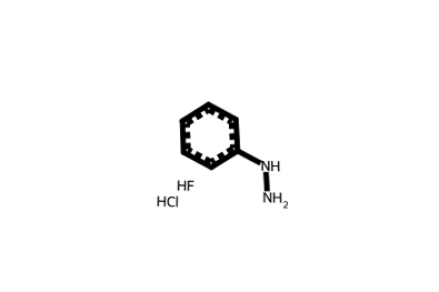 Cl.F.NNc1ccccc1